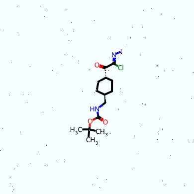 CC(C)(C)OC(=O)NC[C@H]1CC[C@H](C(=O)/C(Cl)=N/I)CC1